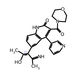 CC(=N)/C(=C(/C)O)c1ccc2[nH]c(=O)c(C(=O)N3CCOCC3)c(-c3cccnc3)c2c1